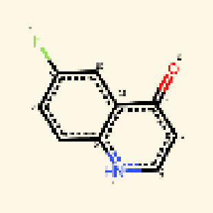 O=c1c[c][nH]c2ccc(F)cc12